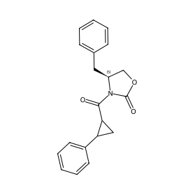 O=C1OC[C@H](Cc2ccccc2)N1C(=O)C1CC1c1ccccc1